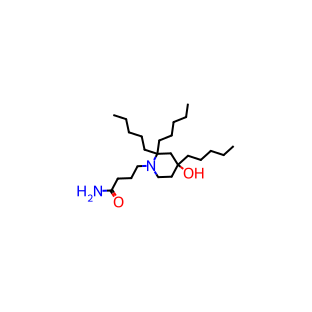 CCCCCC1(O)CCN(CCCC(N)=O)C(CCCCC)(CCCCC)C1